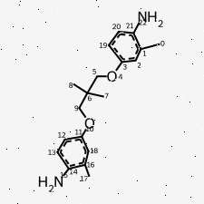 Cc1cc(OCC(C)(C)COc2ccc(N)c(C)c2)ccc1N